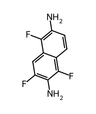 Nc1ccc2c(F)c(N)c(F)cc2c1F